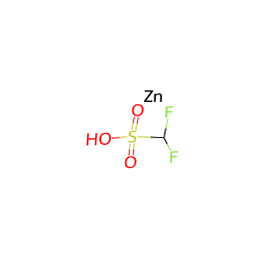 O=S(=O)(O)C(F)F.[Zn]